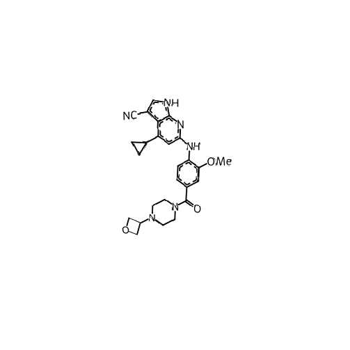 COc1cc(C(=O)N2CCN(C3COC3)CC2)ccc1Nc1cc(C2CC2)c2c(C#N)c[nH]c2n1